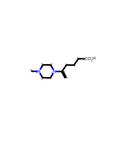 C=C(CCCC(=O)O)N1CCN(C)CC1